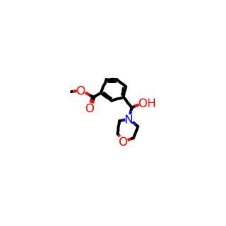 COC(=O)c1cccc(C(O)N2CCOCC2)c1